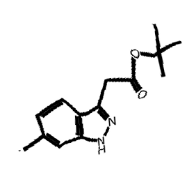 [CH2]c1ccc2c(CC(=O)OC(C)(C)C)n[nH]c2c1